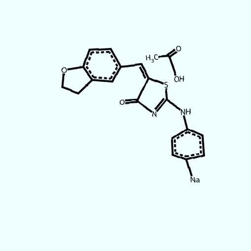 CC(=O)O.O=C1N=C(Nc2cc[c]([Na])cc2)SC1=Cc1ccc2c(c1)CCO2